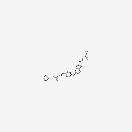 O=C(C/C=C/c1ccc(Oc2ccc3nc(/C=C/CC(=O)C4CC4)cn3n2)cc1)OCc1ccccc1